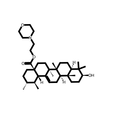 C[C@H]1[C@H](C)CC[C@]2(C(=O)OCCN3CCOCC3)CC[C@]3(C)C(=CC[C@@H]4[C@@]5(C)CC[C@H](O)C(C)(C)[C@@H]5CC[C@]43C)[C@H]12